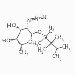 CC(C)C(C)(C)[Si](C)(C)O[C@H]1O[C@@H](C)[C@@H](O)[C@@H](O)[C@@H]1N=[N+]=[N-]